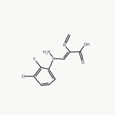 C=N/C(=C\N(N)c1cccc(Cl)c1F)C(=O)O